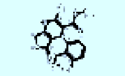 CCc1c(F)cccc1[C@@H]1C(C(=O)OC)=C(C)NC2=C1C(=O)OC2